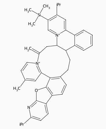 C=C1CC2C(CCc3ccc4c(oc5nc(C(C)C)ccc54)c3-c3cc(C)cc[n+]31)c1ccccc1-c1cc(C(C)C)c([Si](C)(C)C)c[n+]12